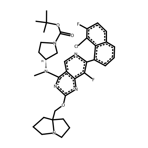 CN(c1nc(OCC23CCCN2CCC3)nc2c(F)c(-c3cccc4ccc(F)c(Cl)c34)ncc12)[C@@H]1CCN(C(=O)OC(C)(C)C)C1